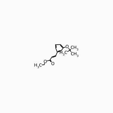 CCOC(=O)C=Cc1cccc(OC(C)(C)C)c1